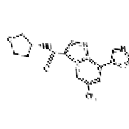 O=C(N[C@@H]1CCOC1)c1cnc2c(-c3cnco3)cc(C(F)(F)F)cn12